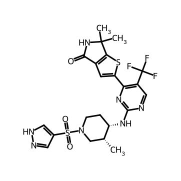 C[C@@H]1CN(S(=O)(=O)c2cn[nH]c2)CC[C@@H]1Nc1ncc(C(F)(F)F)c(-c2cc3c(s2)C(C)(C)NC3=O)n1